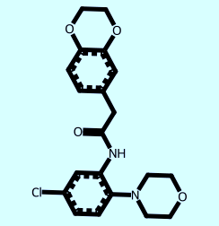 O=C(Cc1ccc2c(c1)OCCO2)Nc1cc(Cl)ccc1N1CCOCC1